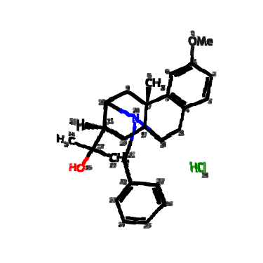 COc1ccc2c(c1)[C@@]1(C)CC3[C@@H](C(C)(C)O)CC1C(C2)N3Cc1ccccc1.Cl